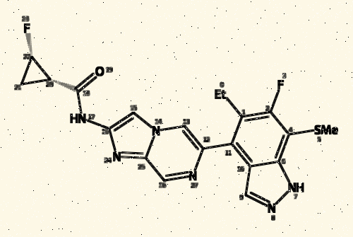 CCc1c(F)c(SC)c2[nH]ncc2c1-c1cn2cc(NC(=O)[C@@H]3C[C@@H]3F)nc2cn1